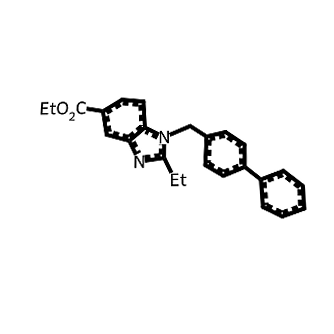 CCOC(=O)c1ccc2c(c1)nc(CC)n2Cc1ccc(-c2ccccc2)cc1